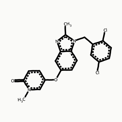 Cc1nc2cc(Oc3ccc(=O)n(C)c3)ccc2n1Cc1cc(Cl)ccc1Cl